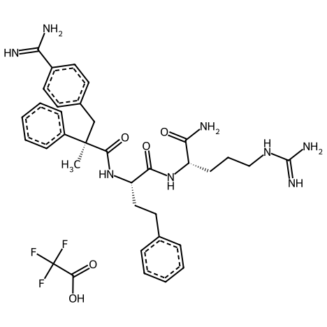 C[C@](Cc1ccc(C(=N)N)cc1)(C(=O)N[C@@H](CCc1ccccc1)C(=O)N[C@@H](CCCNC(=N)N)C(N)=O)c1ccccc1.O=C(O)C(F)(F)F